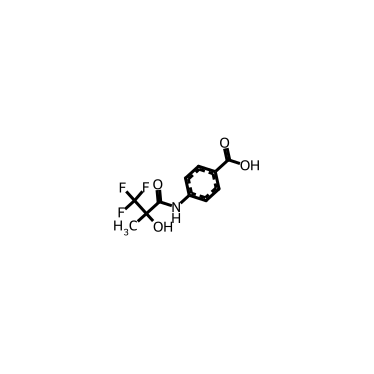 CC(O)(C(=O)Nc1ccc(C(=O)O)cc1)C(F)(F)F